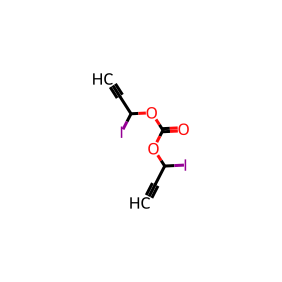 C#CC(I)OC(=O)OC(I)C#C